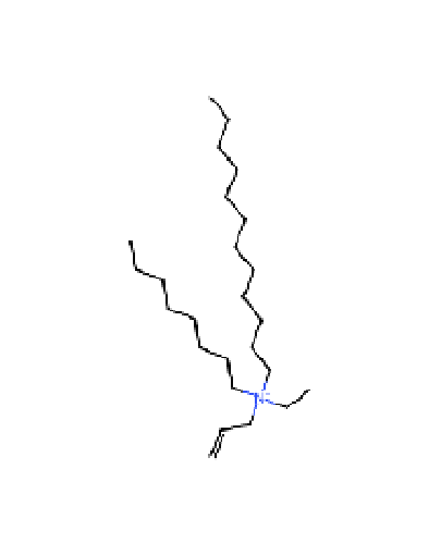 C=CC[N+](CC)(CCCCCCCC)CCCCCCCCCCCC